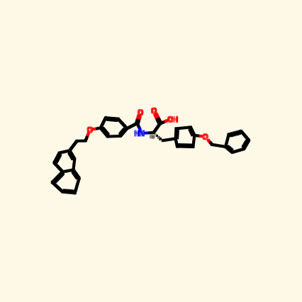 O=C(N[C@@H](Cc1ccc(OCc2ccccc2)cc1)C(=O)O)c1ccc(OCCc2ccc3ccccc3c2)cc1